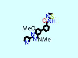 CNc1nc(-c2cccnc2)nc2c(OC)cc(-c3cccc(C(=O)Nc4nccs4)c3)cc12